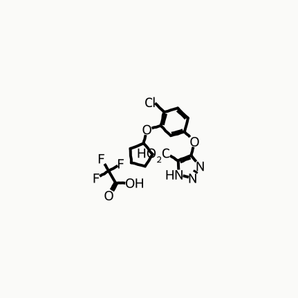 O=C(O)C(F)(F)F.O=C(O)c1[nH]nnc1Oc1ccc(Cl)c(OC2CCCC2)c1